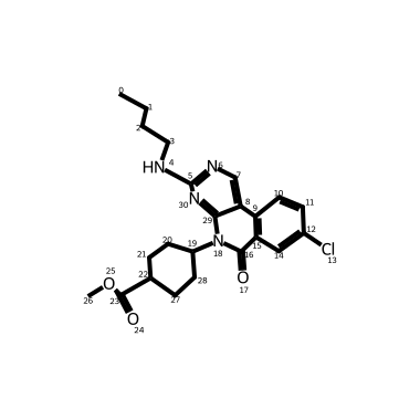 CCCCNc1ncc2c3ccc(Cl)cc3c(=O)n(C3CCC(C(=O)OC)CC3)c2n1